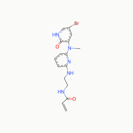 C=CC(=O)NCCNc1cccc(N(C)c2cc(Br)c[nH]c2=O)n1